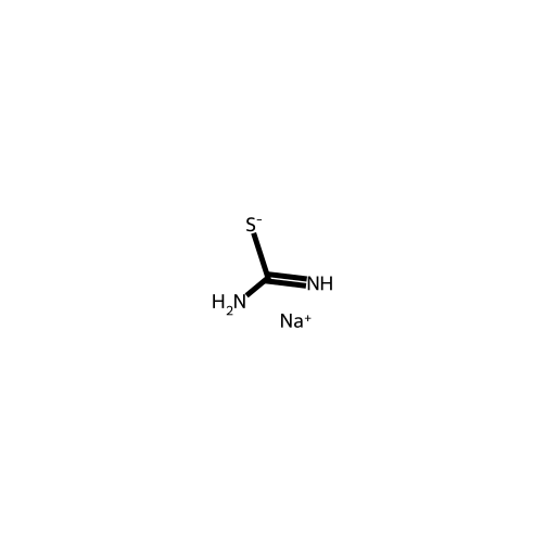 N=C(N)[S-].[Na+]